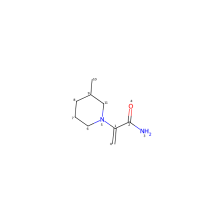 C=C(C(N)=O)N1CCCC(C)C1